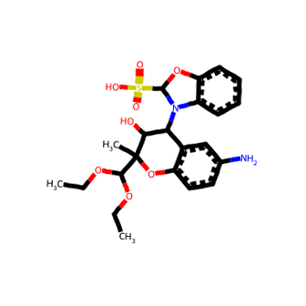 CCOC(OCC)C1(C)Oc2ccc(N)cc2C(N2c3ccccc3OC2S(=O)(=O)O)C1O